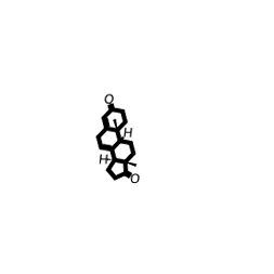 C[C@]12CCC(=O)C=C1CC=C1[C@H]2CC[C@]2(C)C(=O)CC[C@@H]12